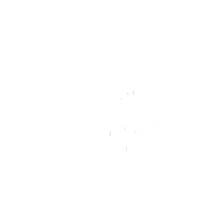 CCCC1=Cc2c(-c3cccc4ccccc34)cccc2[CH]1[Zr]([Cl])([Cl])([CH]1C(CCC)=Cc2c(-c3cccc4ccccc34)cccc21)[SiH](c1ccccc1)c1ccccc1